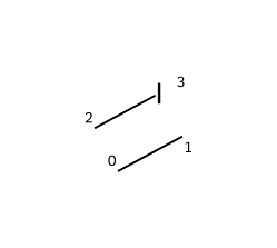 CC.CI